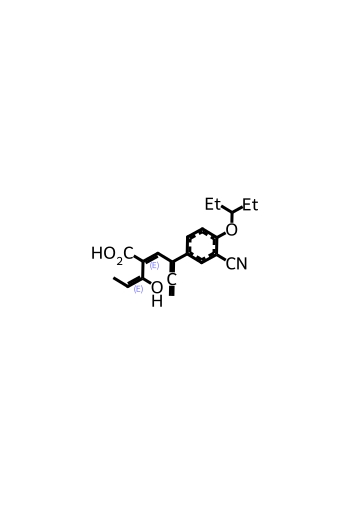 C=C=C(/C=C(C(=O)O)\C(O)=C/C)c1ccc(OC(CC)CC)c(C#N)c1